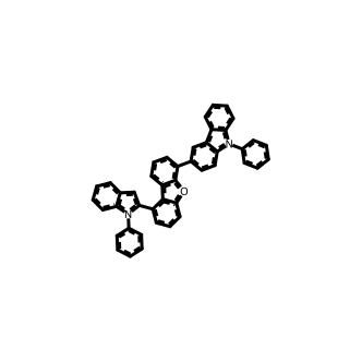 c1ccc(-n2c(-c3cccc4oc5c(-c6ccc7c(c6)c6ccccc6n7-c6ccccc6)cccc5c34)cc3ccccc32)cc1